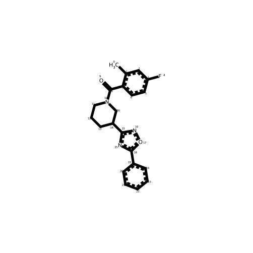 Cc1cc(F)ccc1C(=O)N1CCCC(c2noc(-c3ccccc3)n2)C1